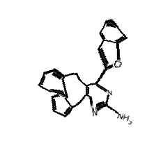 Nc1nc(-c2ccco2)c(Cc2ccccc2)c(-c2cc3ccccc3o2)n1